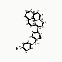 Brc1ccc(Nc2ccc(-c3ccc4ccc5cccc6ccc3c4c56)cc2)cc1